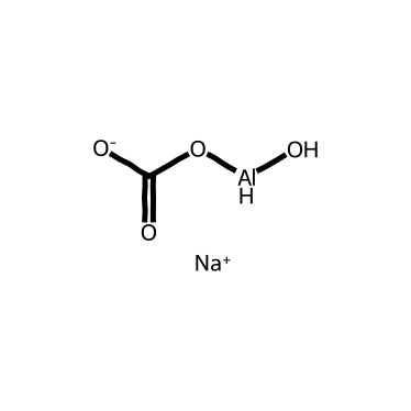 O=C([O-])[O][AlH][OH].[Na+]